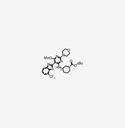 COc1nc(N2CCOCC2)nc(N[C@@H]2CCCN(C(=O)OC(C)(C)C)C2)c1-c1nc2cccc(C(F)(F)F)c2s1